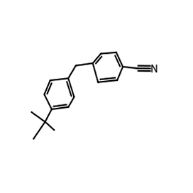 CC(C)(C)c1ccc(Cc2ccc(C#N)cc2)cc1